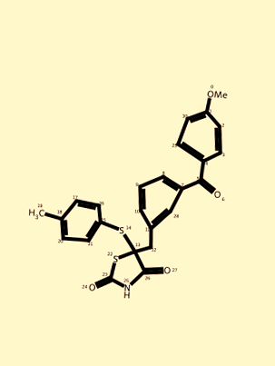 COc1ccc(C(=O)c2cccc(CC3(Sc4ccc(C)cc4)SC(=O)NC3=O)c2)cc1